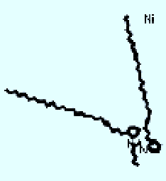 CCCCCCCCCCCCCCCCCCCCCC#CCCCc1ccccc1/N=C(CCCC)\C(C)=N\c1ccccc1CCCC#CCCCCCCCCCCCCCCCCCCCCC.[Ni]